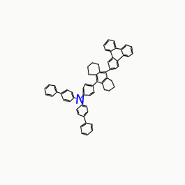 c1ccc(-c2ccc(N(c3ccc(-c4ccccc4)cc3)c3ccc(-c4c5c(c(-c6ccc7c8ccccc8c8ccccc8c7c6)c6c4CCCC6)CCCC5)cc3)cc2)cc1